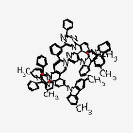 Cc1ccc2c(c1)c1ccccc1n2-c1ccc(-c2nc(-c3ccccc3)nc(-c3cccc(-c4cc(-n5c6ccc(C)cc6c6cc(C)ccc65)c(-c5cc(-n6c7ccc(C)cc7c7cc(C)ccc76)ccc5-c5nc(-c6ccccc6)nc(-c6ccccc6)n5)cn4)c3)n2)c(-c2cnccc2-n2c3ccccc3c3cc(C)ccc32)c1